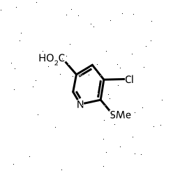 CSc1ncc(C(=O)O)cc1Cl